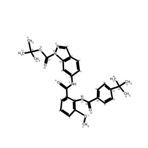 COc1cccc(C(=O)Nc2ccc3cnn(C(=O)OC(C)(C)C)c3c2)c1NC(=O)c1ccc(C(C)(C)C)cc1